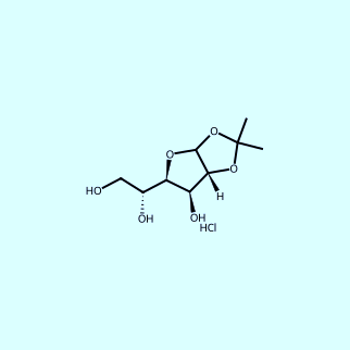 CC1(C)OC2O[C@H]([C@H](O)CO)[C@H](O)[C@H]2O1.Cl